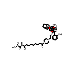 CCCN(CC)C(=O)NC(=O)CCCCCCCC(=O)N1CCN(CCOc2cccc(N3C4CCC3CN(c3cc(-c5ccccc5O)nnc3N)C4)c2)CC1